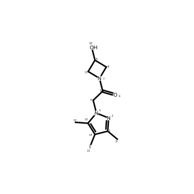 Cc1nn(CC(=O)N2CC(O)C2)c(C)c1I